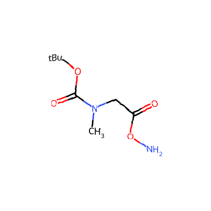 CN(CC(=O)ON)C(=O)OC(C)(C)C